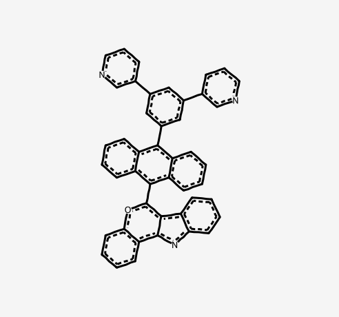 c1cncc(-c2cc(-c3cccnc3)cc(-c3c4ccccc4c(-c4oc5ccccc5c5nc6ccccc6c4-5)c4ccccc34)c2)c1